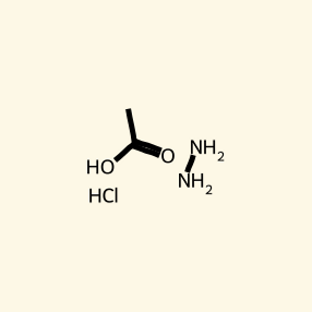 CC(=O)O.Cl.NN